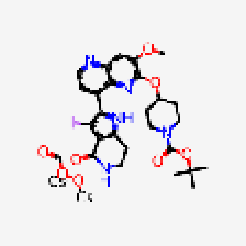 COc1cc2nccc(-c3[nH]c4c(c3I)C(=O)NCC4)c2nc1OC1CCN(C(=O)OC(C)(C)C)CC1.O=CO[O][Cs].[Cs]